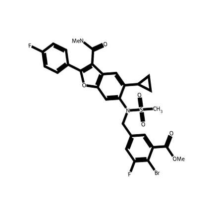 CNC(=O)c1c(-c2ccc(F)cc2)oc2cc(N(Cc3cc(F)c(Br)c(C(=O)OC)c3)S(C)(=O)=O)c(C3CC3)cc12